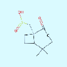 CC1(C)CCC(=O)[C@]2(CS(=O)O)CCC12